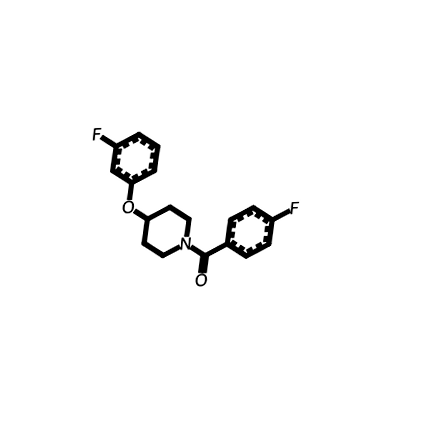 O=C(c1ccc(F)cc1)N1CCC(Oc2cccc(F)c2)CC1